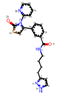 O=C(NCCCCc1cc[nH]n1)c1cccc(-c2csc(=O)n2-c2ccccn2)c1